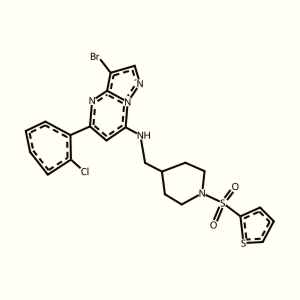 O=S(=O)(c1cccs1)N1CCC(CNc2cc(-c3ccccc3Cl)nc3c(Br)cnn23)CC1